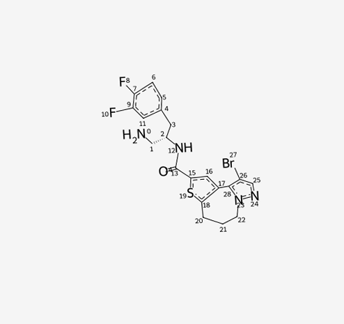 NC[C@H](Cc1ccc(F)c(F)c1)NC(=O)c1cc2c(s1)CCCn1ncc(Br)c1-2